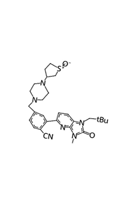 Cn1c(=O)n(CC(C)(C)C)c2ccc(-c3cc(CN4CCN(C5CC[S+]([O-])C5)CC4)ccc3C#N)nc21